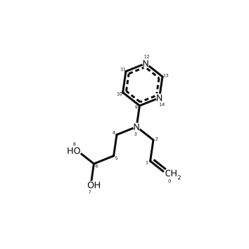 C=CCN(CCC(O)O)c1ccncn1